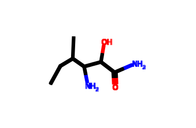 CCC(C)C(N)C(O)C(N)=O